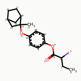 CCC(I)C(=O)Oc1ccc(OC2(C)CC3CCC2C3)cc1